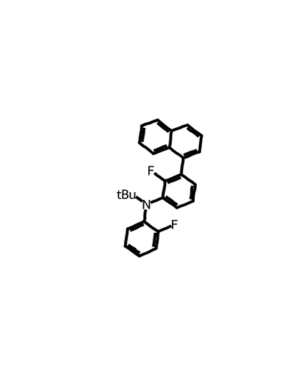 CC(C)(C)N(c1ccccc1F)c1cccc(-c2cccc3ccccc23)c1F